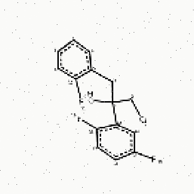 OC(CCl)(Cc1ccccc1F)c1cc(F)ccc1F